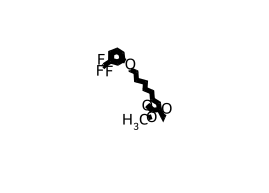 COC(=O)C1(CCCCCCCCOc2cccc(C(F)(F)F)c2)CO1